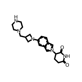 O=C1CCC(n2cc3ccc(N4CC(CN5CCNCC5)C4)cc3c2)C(=O)N1